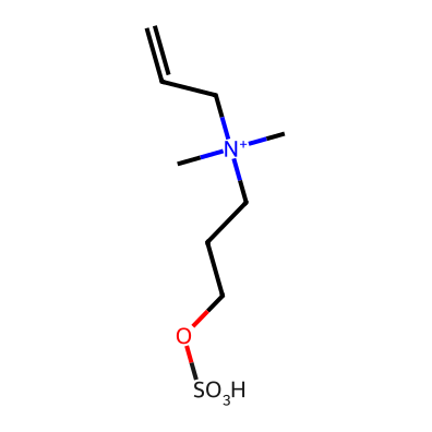 C=CC[N+](C)(C)CCCOS(=O)(=O)O